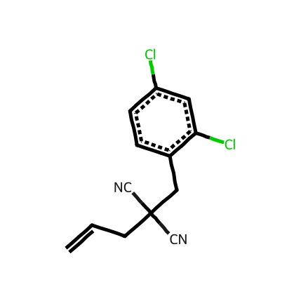 C=CCC(C#N)(C#N)Cc1ccc(Cl)cc1Cl